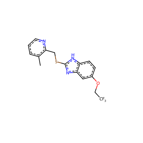 Cc1cccnc1CSc1nc2cc(OCC(F)(F)F)ccc2[nH]1